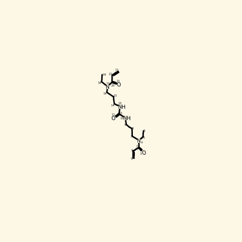 C=CC(=O)N(CC)CCCNC(=O)NCCCN(CC)C(=O)C=C